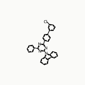 Clc1cccc(-c2ccc(-c3nc(-c4ccccc4)nc(-n4c5ccccc5c5ccccc54)n3)cc2)c1